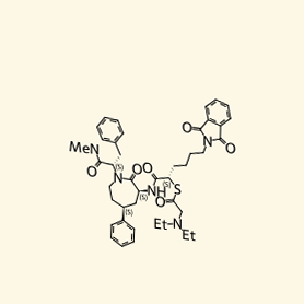 CCN(CC)CC(=O)S[C@@H](CCCCN1C(=O)c2ccccc2C1=O)C(=O)N[C@H]1C[C@@H](c2ccccc2)CCN([C@@H](Cc2ccccc2)C(=O)NC)C1=O